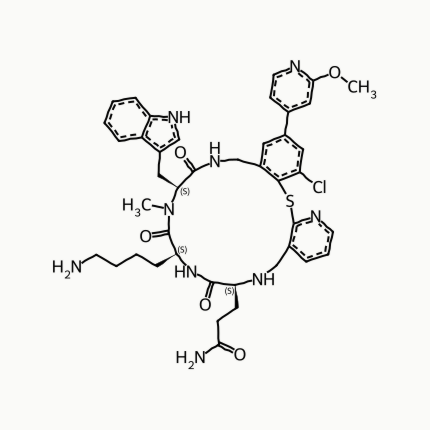 COc1cc(-c2cc(Cl)c3c(c2)CNC(=O)[C@H](Cc2c[nH]c4ccccc24)N(C)C(=O)[C@H](CCCCN)NC(=O)[C@H](CCC(N)=O)NCc2cccnc2S3)ccn1